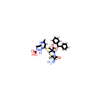 CC1=NC2=CN(C(=O)O)NN2C(SCC2(C(=O)OC(c3ccccc3)c3ccccc3)CS[C@@H]3C(N)C(=O)N3C2)=C1